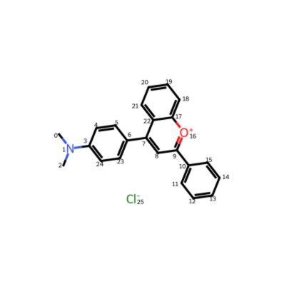 CN(C)c1ccc(-c2cc(-c3ccccc3)[o+]c3ccccc23)cc1.[Cl-]